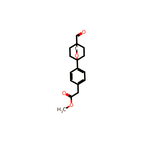 COC(=O)Cc1ccc(C23CCC(C=O)(CC2)CO3)cc1